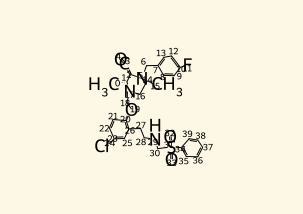 C[C@@H]1C(=C=O)N(Cc2ccc(F)cc2)[C@@H](C)CN1COc1ccc(Cl)cc1CCNCS(=O)(=O)c1ccccc1